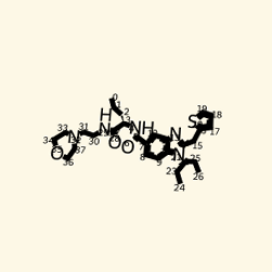 CCC[C@H](NC(=O)c1ccc2c(c1)nc(Cc1cccs1)n2C(CC)CC)C(=O)NCCN1CCOCC1